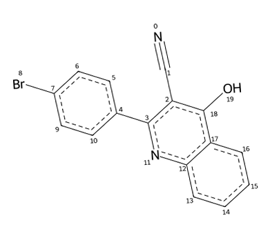 N#Cc1c(-c2ccc(Br)cc2)nc2ccccc2c1O